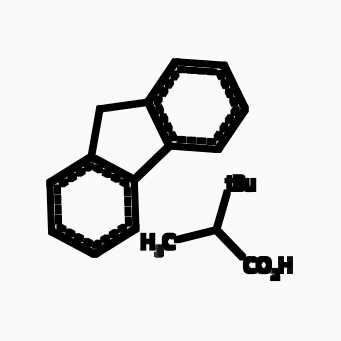 CC(C(=O)O)C(C)(C)C.c1ccc2c(c1)Cc1ccccc1-2